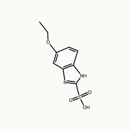 CCOc1ccc2[nH]c(S(=O)(=O)O)nc2c1